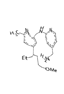 CCC(CCOC)c1cc(C)nc(Nc2cc(CN)ccn2)c1